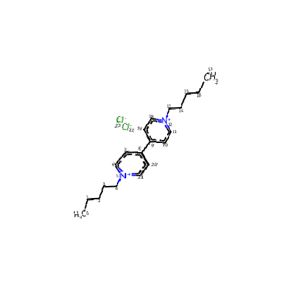 CCCCC[n+]1ccc(-c2cc[n+](CCCCC)cc2)cc1.[Cl-].[Cl-]